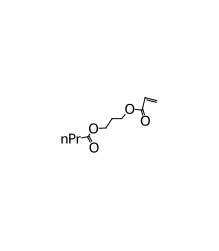 C=CC(=O)OCCCOC(=O)CCC